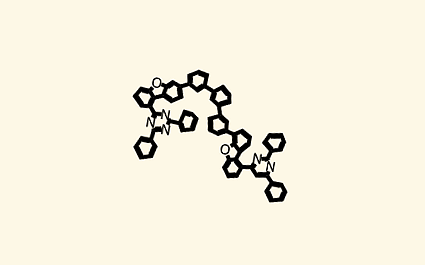 c1ccc(-c2cc(-c3cccc4oc5c(-c6cccc(-c7cccc(-c8cccc(-c9ccc%10c(c9)oc9cccc(-c%11nc(-c%12ccccc%12)nc(-c%12ccccc%12)n%11)c9%10)c8)c7)c6)cccc5c34)nc(-c3ccccc3)n2)cc1